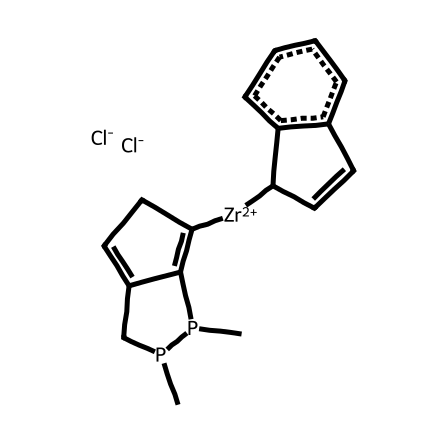 CP1CC2=CC[C]([Zr+2][CH]3C=Cc4ccccc43)=C2P1C.[Cl-].[Cl-]